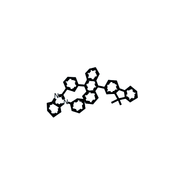 CC1(C)c2ccccc2-c2ccc(-c3c4ccccc4c(-c4cccc(-c5nc6ccccc6n5-c5ccccc5)c4)c4ccccc34)cc21